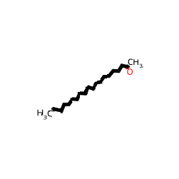 CCCCCCCCC=CCCCCCCCCC(C)=O